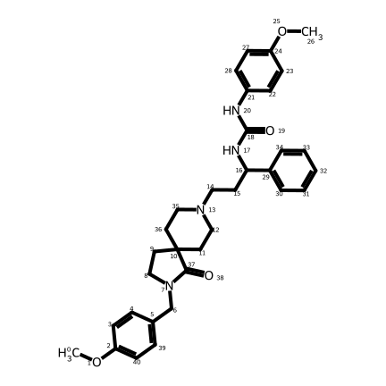 COc1ccc(CN2CCC3(CCN(CCC(NC(=O)Nc4ccc(OC)cc4)c4ccccc4)CC3)C2=O)cc1